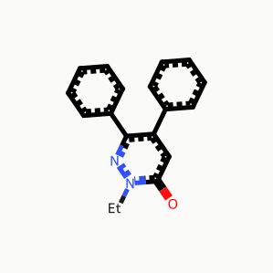 CCn1nc(-c2ccccc2)c(-c2ccccc2)cc1=O